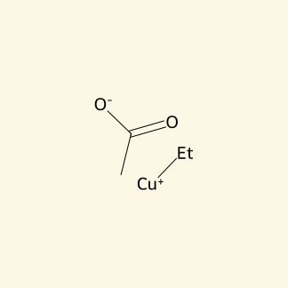 CC(=O)[O-].C[CH2][Cu+]